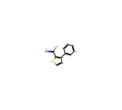 N=C(Cl)c1sccc1-c1ccccc1